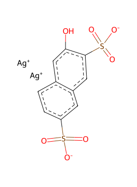 O=S(=O)([O-])c1ccc2cc(O)c(S(=O)(=O)[O-])cc2c1.[Ag+].[Ag+]